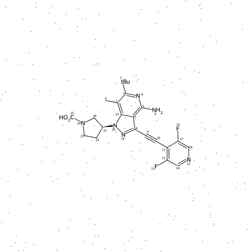 Cc1c(C(C)(C)C)nc(N)c2c(C#Cc3c(F)cncc3F)nn([C@H]3CCN(C(=O)O)C3)c12